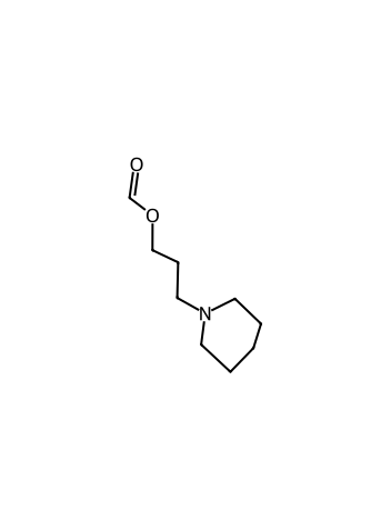 O=COCCCN1CCCCC1